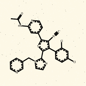 [C-]#[N+]c1c(-c2ccnc(NC(C)=O)c2)sc(-c2nccn2Cc2cccnc2)c1-c1ccc(Cl)cc1Cl